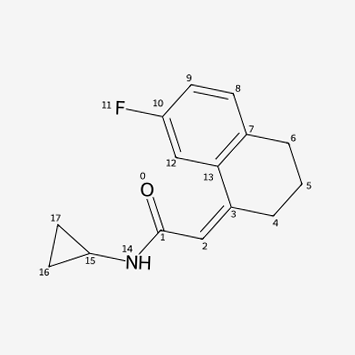 O=C(/C=C1/CCCc2ccc(F)cc21)NC1CC1